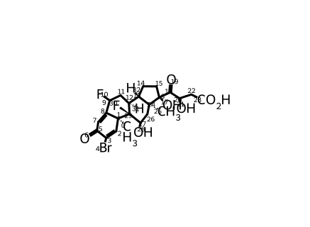 C[C@]12C=C(Br)C(=O)C=C1C(F)C[C@H]1[C@@H]3CC[C@](O)(C(=O)C(O)CC(=O)O)[C@@]3(C)CC(O)[C@@]12F